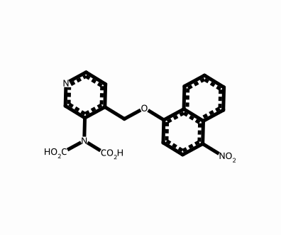 O=C(O)N(C(=O)O)c1cnccc1COc1ccc([N+](=O)[O-])c2ccccc12